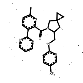 Cc1ccc(-c2ncccn2)c(C(=O)N2CC3(CC3)CC2CNc2ccc(C(F)(F)F)cn2)n1